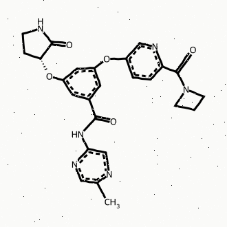 Cc1cnc(NC(=O)c2cc(Oc3ccc(C(=O)N4CCC4)nc3)cc(O[C@@H]3CCNC3=O)c2)cn1